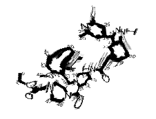 CCOC(=O)N1CCN(C(=O)[C@@H]2CC[C@@H](NC(=O)c3ccc4[nH]nc(-c5ccnc(C)c5)c4c3)CN2Cc2c(F)cccc2OC)CC1